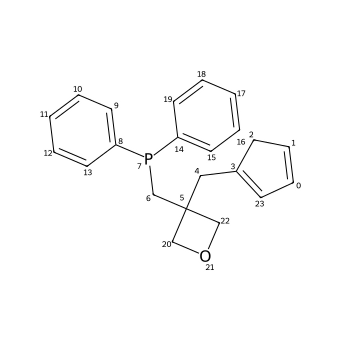 C1=CCC(CC2(CP(c3ccccc3)c3ccccc3)COC2)=C1